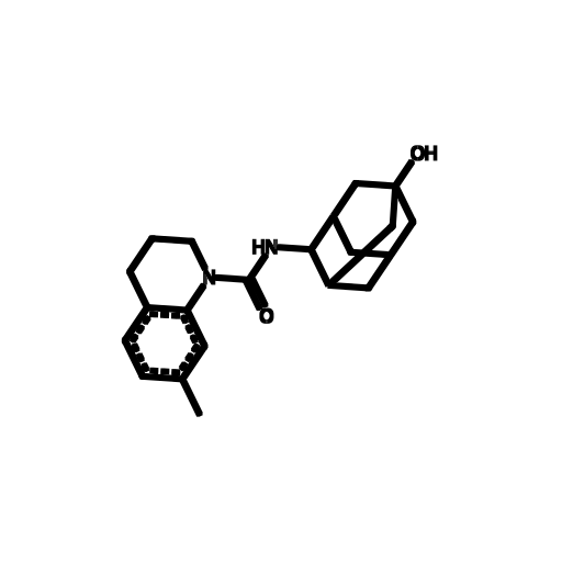 Cc1ccc2c(c1)N(C(=O)NC1C3CC4CC1CC(O)(C4)C3)CCC2